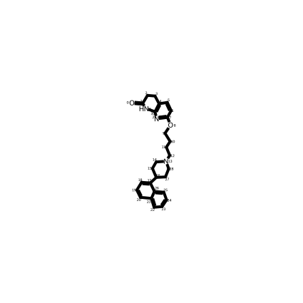 O=C1CCc2ccc(OCCCCN3CCC(c4cccc5ccccc45)CC3)nc2N1